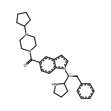 O=C(c1ccc2c(ccn2[C@@H](Cc2ccccc2)C2CCCN2)c1)N1CCN(C2CCCC2)CC1